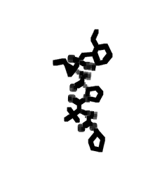 C=C[C@@H]1C[C@]1(NC(=O)[C@@H]1CCCN1C(=O)[C@@H](NC(=O)OC1CCCC1)C(C)(C)C)P(=O)(O)Cc1ccccc1CC